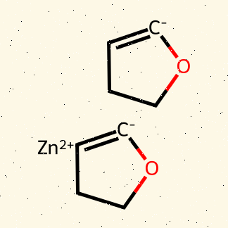 [C-]1=CCCO1.[C-]1=CCCO1.[Zn+2]